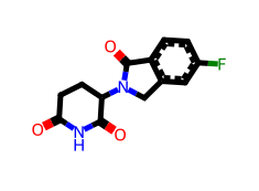 O=C1CCC(N2Cc3cc(F)ccc3C2=O)C(=O)N1